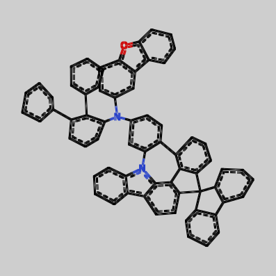 c1ccc(-c2cccc(N(c3ccc4c(c3)-n3c5ccccc5c5ccc6c(c53)-c3c-4cccc3C63c4ccccc4-c4ccccc43)c3ccc4oc5ccccc5c4c3)c2-c2ccccc2)cc1